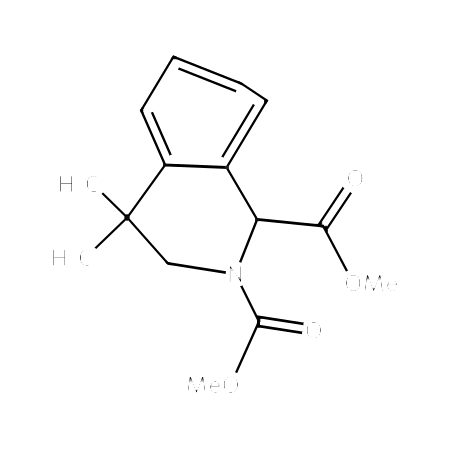 COC(=O)C1c2ccccc2C(C)(C)CN1C(=O)OC